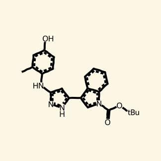 Cc1cc(O)ccc1Nc1cc(-c2cn(C(=O)OC(C)(C)C)c3ccccc23)[nH]n1